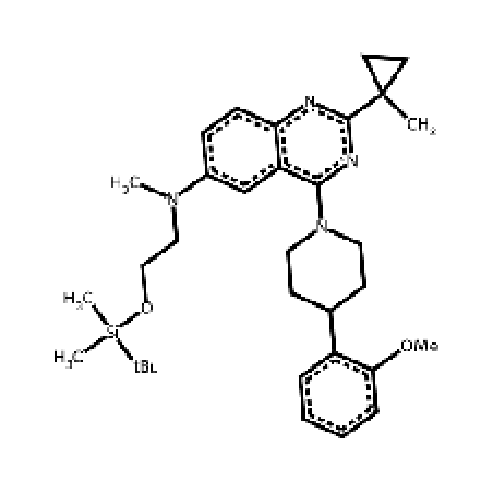 COc1ccccc1C1CCN(c2nc(C3(C)CC3)nc3ccc(N(C)CCO[Si](C)(C)C(C)(C)C)cc23)CC1